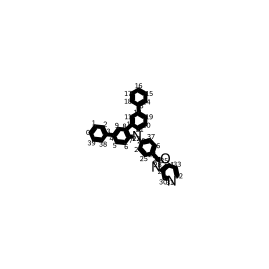 c1ccc(-c2ccc3c(c2)c2cc(-c4ccccc4)ccc2n3-c2ccc(-c3nc4cnccc4o3)cc2)cc1